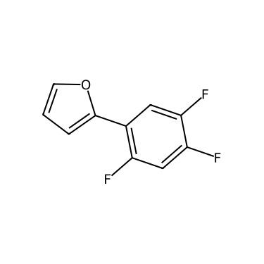 Fc1cc(F)c(-c2ccco2)cc1F